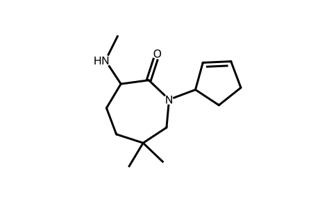 CNC1CCC(C)(C)CN(C2C=CCC2)C1=O